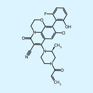 C=CC(=O)N1CCN(c2c(C#N)c(=O)n3c4c(c(-c5c(O)cccc5F)c(Cl)cc24)OCC3)[C@@H](C)C1